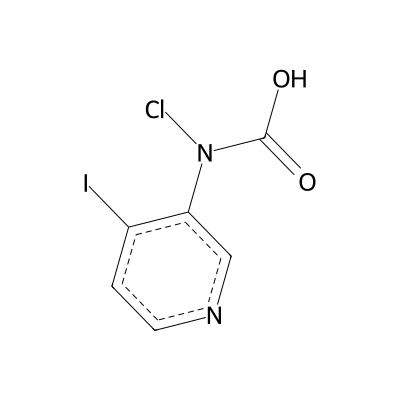 O=C(O)N(Cl)c1cnccc1I